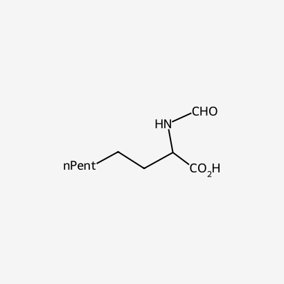 CCCCCCCC(NC=O)C(=O)O